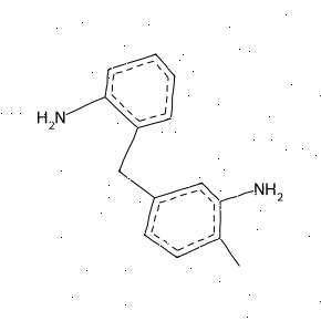 Cc1ccc(Cc2ccccc2N)cc1N